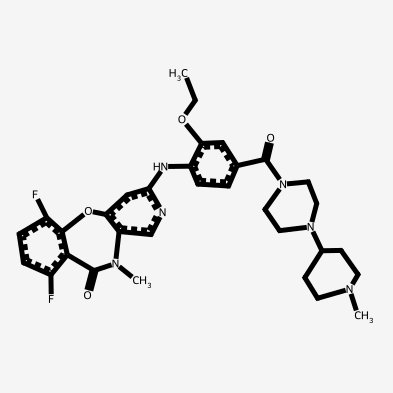 CCOc1cc(C(=O)N2CCN(C3CCN(C)CC3)CC2)ccc1Nc1cc2c(cn1)N(C)C(=O)c1c(F)ccc(F)c1O2